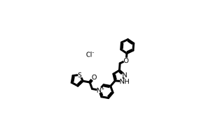 O=C(C[n+]1cccc(-c2cc(COc3ccccc3)n[nH]2)c1)c1cccs1.[Cl-]